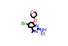 CCNc1nc(C)c2cc(Br)cc(OC3CCOCC3)c2n1